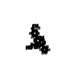 CCc1ccc(C2O[C@H]([C@H](O)CO)[C@@H]3OC(c4ccccc4)OC[C@@H]3O2)cc1